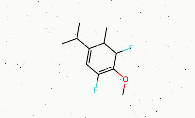 COC1=C(F)C=C(C(C)C)C(C)C1F